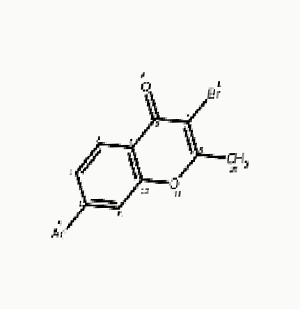 CC(=O)c1ccc2c(=O)c(Br)c(C)oc2c1